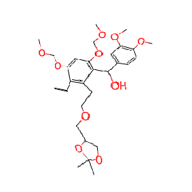 CCc1c(OCOC)cc(OCOC)c(C(O)c2ccc(OC)c(OC)c2)c1CCOCC1COC(C)(C)O1